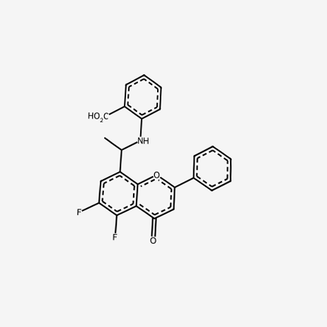 CC(Nc1ccccc1C(=O)O)c1cc(F)c(F)c2c(=O)cc(-c3ccccc3)oc12